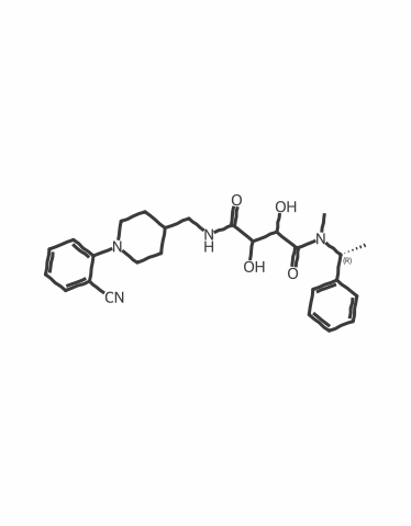 C[C@H](c1ccccc1)N(C)C(=O)C(O)C(O)C(=O)NCC1CCN(c2ccccc2C#N)CC1